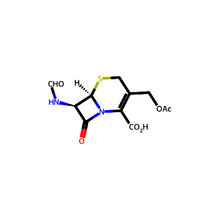 CC(=O)OCC1=C(C(=O)O)N2C(=O)[C@@H](NC=O)[C@H]2SC1